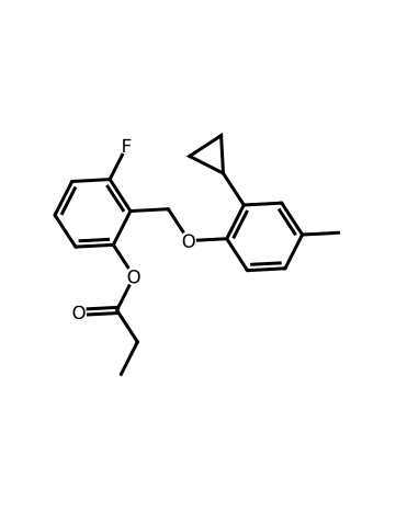 CCC(=O)Oc1cccc(F)c1COc1ccc(C)cc1C1CC1